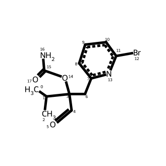 CC(C)C(C=O)(Cc1cccc(Br)n1)OC(N)=O